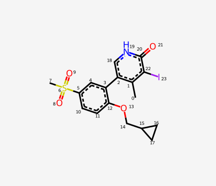 Cc1c(-c2cc(S(C)(=O)=O)ccc2OCC2CC2)c[nH]c(=O)c1I